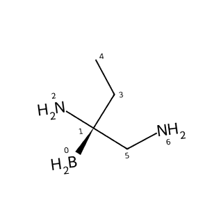 B[C@@](N)(CC)CN